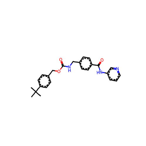 CC(C)(C)c1ccc(COC(=O)NCc2ccc(C(=O)Nc3cccnc3)cc2)cc1